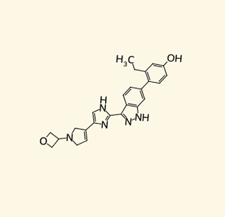 CCc1cc(O)ccc1-c1ccc2c(-c3nc(C4=CCN(C5COC5)C4)c[nH]3)n[nH]c2c1